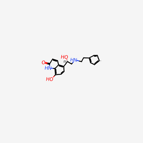 O=c1ccc2c([C@H](O)CNCCc3cc[c]cc3)ccc(O)c2[nH]1